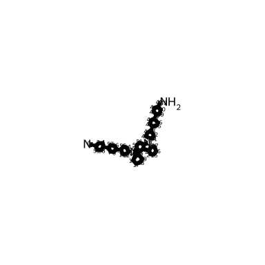 N#Cc1ccc(-c2ccc(-c3ccc(-n4c5ccccc5c5c6c7ccccc7n(-c7ccc(-c8ccc(-c9ccc(CN)cc9)cc8)cc7)c6ccc54)cc3)cc2)cc1